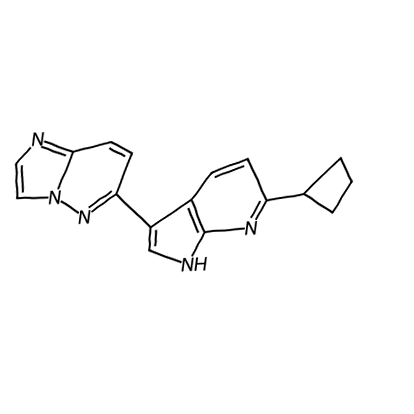 c1cn2nc(-c3c[nH]c4nc(C5CCC5)ccc34)ccc2n1